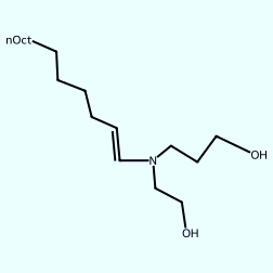 CCCCCCCCCCCCC=CN(CCO)CCCO